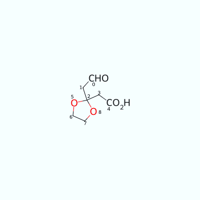 O=CCC1(CC(=O)O)OCCO1